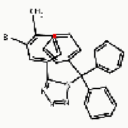 Cc1ccc(-c2nnnn2C(c2ccccc2)(c2ccccc2)c2ccccc2)cc1Br